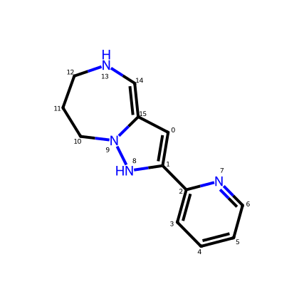 C1=C(c2ccccn2)NN2CCCNC=C12